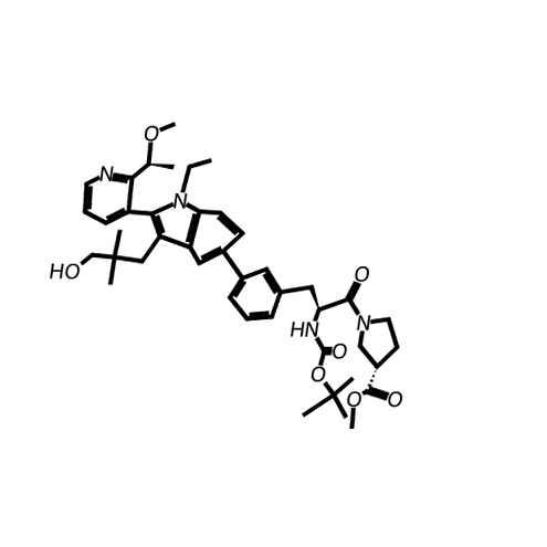 CCn1c(-c2cccnc2[C@H](C)OC)c(CC(C)(C)CO)c2cc(-c3cccc(C[C@H](NC(=O)OC(C)(C)C)C(=O)N4CC[C@H](C(=O)OC)C4)c3)ccc21